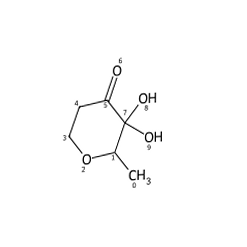 CC1OCCC(=O)C1(O)O